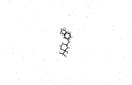 CC(C)C1(C)CCC[C](Cc2ccc3c(c2)OCO3)C1